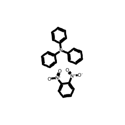 O=[N+]([O-])c1ccccc1[N+](=O)[O-].c1ccc(N(c2ccccc2)c2ccccc2)cc1